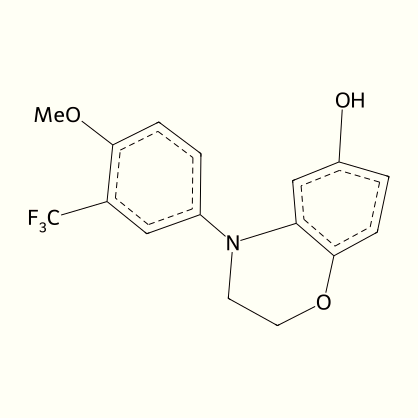 COc1ccc(N2CCOc3ccc(O)cc32)cc1C(F)(F)F